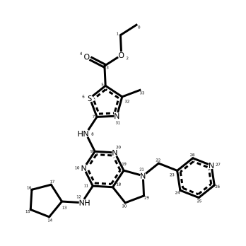 CCOC(=O)c1sc(Nc2nc(NC3CCCC3)c3c(n2)N(Cc2cccnc2)CC3)nc1C